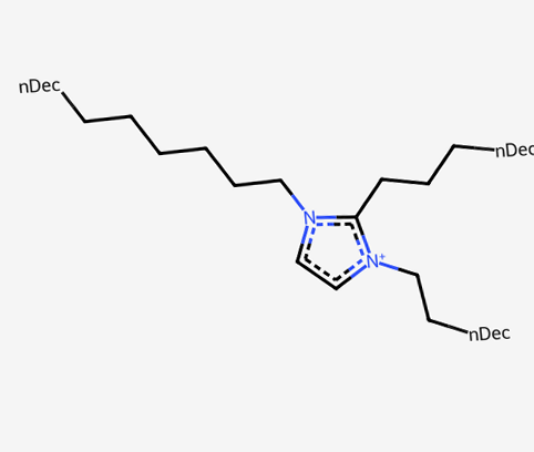 CCCCCCCCCCCCCCCCn1cc[n+](CCCCCCCCCCCC)c1CCCCCCCCCCCCC